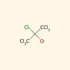 [O]C(Cl)(C(Cl)(Cl)Cl)C(Cl)(Cl)Cl